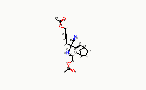 C=C(COC(C)=O)[C@@H]1C(C(C#N)(C#N)CC#CCOC(C)=O)=CC2CCC1C2